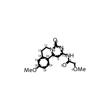 COCC(=O)Nc1cc2n(c(=O)n1)CCc1cc(OC)ccc1-2